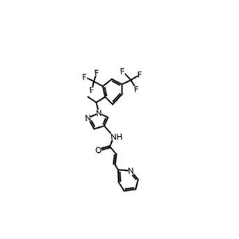 CC(c1ccc(C(F)(F)F)cc1C(F)(F)F)n1cc(NC(=O)C=Cc2ccccn2)cn1